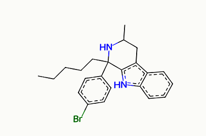 CCCCCC1(c2ccc(Br)cc2)NC(C)Cc2c1[nH]c1ccccc21